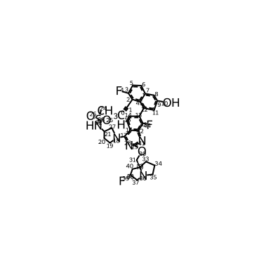 C#Cc1c(F)ccc2cc(O)cc(-c3ccc4c(N5CCC(NS(C)(=O)=O)C5)nc(OC[C@@]56CCCN5C[C@H](F)C6)nc4c3F)c12